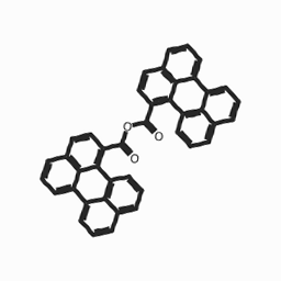 O=C(OC(=O)c1ccc2cccc3c4cccc5cccc(c1c23)c54)c1ccc2cccc3c4cccc5cccc(c1c23)c54